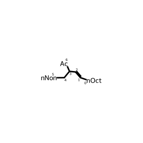 CCCCCCCCC=CC(CCCCCCCCCC)C(C)=O